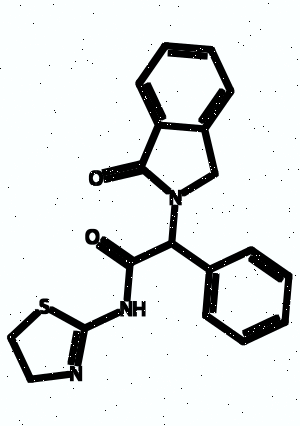 O=C(NC1=NCCS1)C(c1ccccc1)N1Cc2ccccc2C1=O